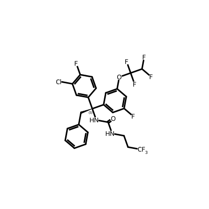 O=C(NCCC(F)(F)F)N[C@@](Cc1ccccc1)(c1cc(F)cc(OC(F)(F)C(F)F)c1)c1ccc(F)c(Cl)c1